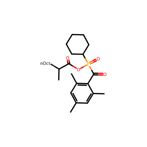 CCCCCCCCC(C)C(=O)OP(=O)(C(=O)c1c(C)cc(C)cc1C)C1CCCCC1